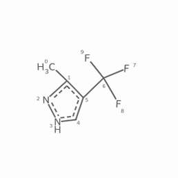 Cc1n[nH]cc1C(F)(F)F